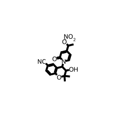 CC(O[N+](=O)[O-])c1ccn(C2c3cc(C#N)ccc3OC(C)(C)C2O)c(=O)c1